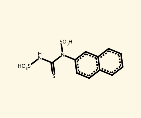 O=S(=O)(O)NC(=S)N(c1ccc2ccccc2c1)S(=O)(=O)O